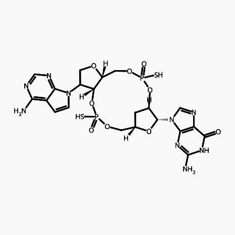 Nc1nc2c(ncn2[C@@H]2O[C@@H]3COP(=O)(S)O[C@@H]4C(n5ccc6c(N)ncnc65)CO[C@@H]4COP(=O)(S)O[C@@H]2C3)c(=O)[nH]1